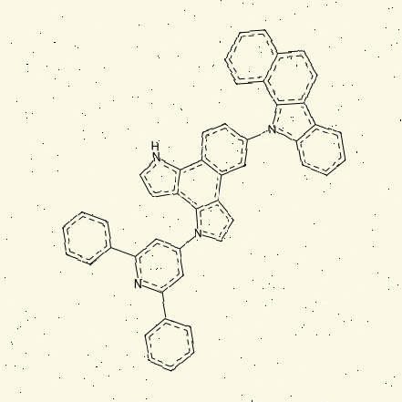 c1ccc(-c2cc(-n3ccc4c5cc(-n6c7ccccc7c7ccc8ccccc8c76)ccc5c5[nH]ccc5c43)cc(-c3ccccc3)n2)cc1